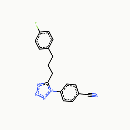 N#Cc1ccc(-n2nnnc2CCCc2ccc(F)cc2)cc1